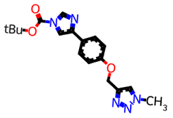 Cn1cc(COc2ccc(-c3cn(C(=O)OC(C)(C)C)cn3)cc2)nn1